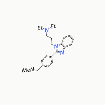 CCN(CC)CCCn1c(-c2ccc(CNC)cc2)nc2ccccc21